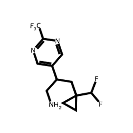 NCC(CC1(C(F)F)CC1)c1cnc(C(F)(F)F)nc1